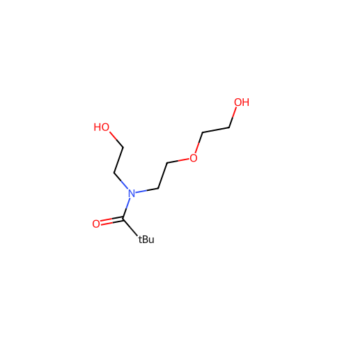 CC(C)(C)C(=O)N(CCO)CCOCCO